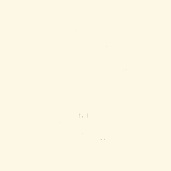 COC(=O)NS(=O)(=O)c1ccccc1-c1ccc(C(=O)C2=CC=CB2)c(F)c1